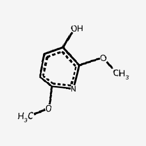 COc1ccc(O)c(OC)n1